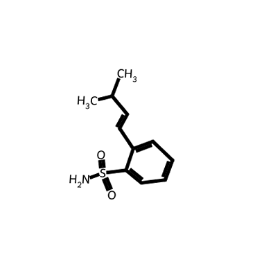 CC(C)C=Cc1ccccc1S(N)(=O)=O